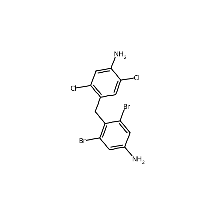 Nc1cc(Br)c(Cc2cc(Cl)c(N)cc2Cl)c(Br)c1